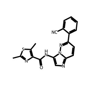 Cc1nc(C(=O)Nc2cnc3ccc(-c4ccccc4C#N)nn23)c(C)s1